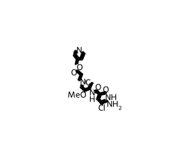 CO[C@@H]1CN(CCC(=O)OCc2ccncc2)CC[C@@H]1NC(=O)c1cc(Cl)c(N)[nH]c1=O